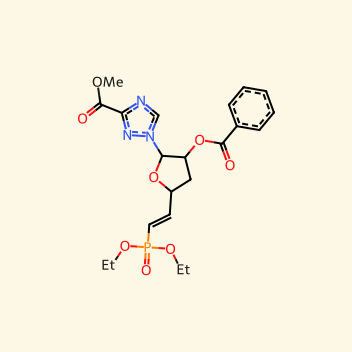 CCOP(=O)(C=CC1CC(OC(=O)c2ccccc2)C(n2cnc(C(=O)OC)n2)O1)OCC